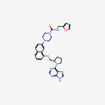 O=C(NCc1ccco1)N1CCN(c2ccc3cccc(OC[C@H]4CCCN4c4ncnc5[nH]cnc45)c3c2)CC1